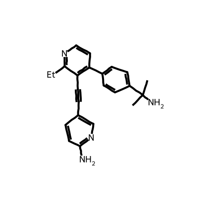 CCc1nccc(-c2ccc(C(C)(C)N)cc2)c1C#Cc1ccc(N)nc1